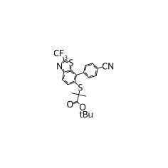 CC(C)(C)OC(=O)C(C)(C)Sc1ccc2nc(C(F)(F)F)sc2c1-c1ccc(C#N)cc1